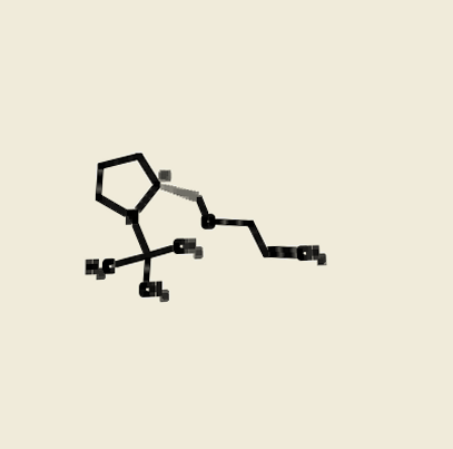 C=CCOC[C@H]1CCCN1C(C)(C)C